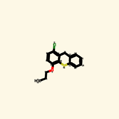 CCCOc1ccc(Cl)c2c1Sc1ccccc1C2